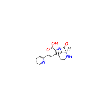 O=C(O)C1=C(/C=C/c2ccccn2)C2CCN[C@@H]3C(=O)N1[C@H]23